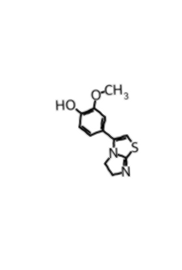 COc1cc(C2=CSC3=NCCN23)ccc1O